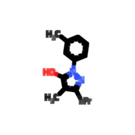 CCCc1nn(-c2cccc(C)c2)c(O)c1C